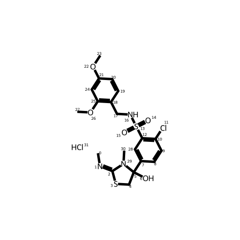 CN=C1SCC(O)(c2ccc(Cl)c(S(=O)(=O)NCc3ccc(OC)cc3OC)c2)N1C.Cl